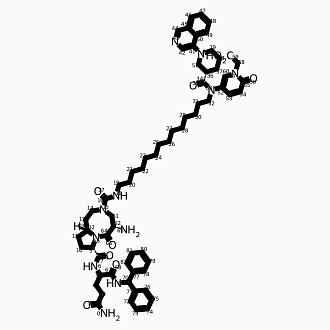 NC(=O)CCC(NC(=O)[C@@H]1CC[C@@H]2CCN(C(=O)NCCCCCCCCCCCCCCN(C(=O)[C@H]3CCCN(c4cncc5ccccc45)C3)c3ccc(=O)n(CC(=O)O)c3)C[C@H](N)C(=O)N21)C(=O)NC(c1ccccc1)c1ccccc1